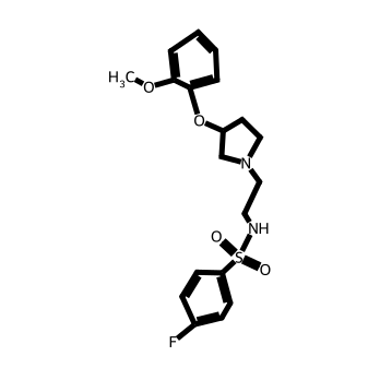 COc1ccccc1OC1CCN(CCNS(=O)(=O)c2ccc(F)cc2)C1